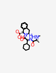 CN[C@@H](C)C(=O)N[C@H](C(=O)N1CCc2ccccc2[C@H]1C(=O)O)C1CCCCC1